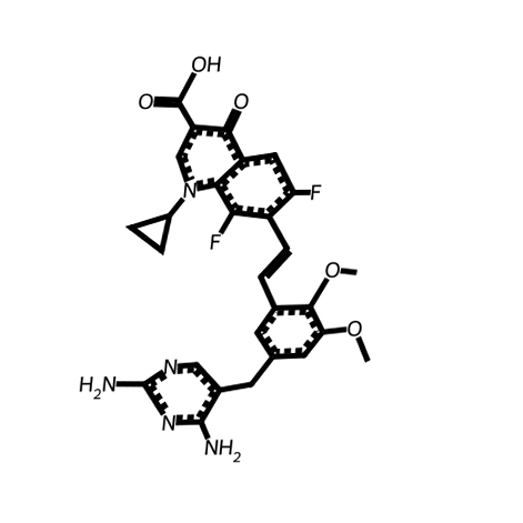 COc1cc(Cc2cnc(N)nc2N)cc(C=Cc2c(F)cc3c(=O)c(C(=O)O)cn(C4CC4)c3c2F)c1OC